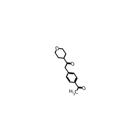 CC(=O)c1ccc(CC(=O)C2CCOCC2)cc1